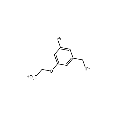 CC(C)Cc1cc(OCC(=O)O)cc(C(C)C)c1